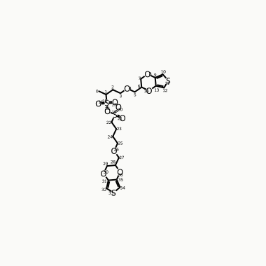 CC(CCOCC1COc2cscc2O1)S(=O)(=O)OS(=O)(=O)CCCCOCC1COc2cscc2O1